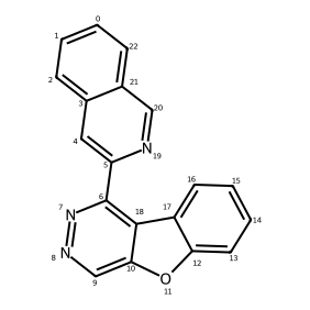 c1ccc2cc(-c3nncc4oc5ccccc5c34)ncc2c1